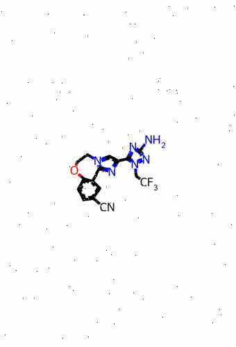 N#Cc1ccc2c(c1)-c1nc(-c3nc(N)nn3CC(F)(F)F)cn1CCO2